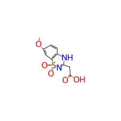 COc1ccc2c(c1)S(=O)(=O)N=C(CC(=O)O)N2